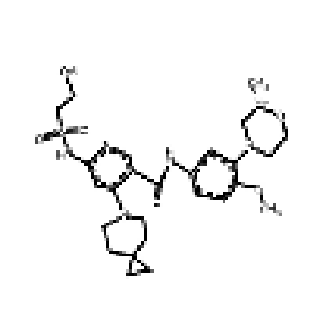 CSc1ccc(NC(=O)c2cnc(NS(=O)(=O)CCO)cc2N2CCC3(CC2)CC3)cc1N1CCO[C@@H](C)C1